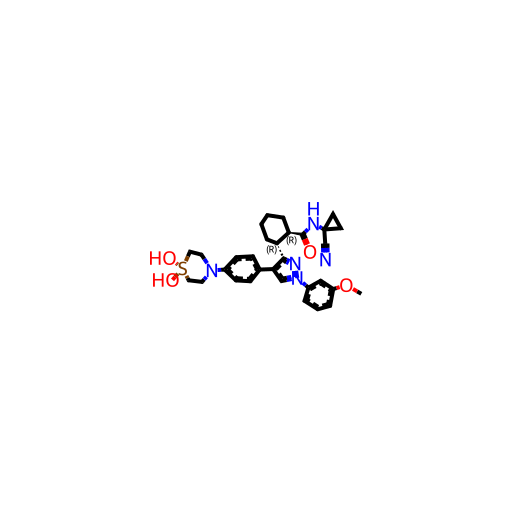 COc1cccc(-n2cc(-c3ccc(N4CCS(O)(O)CC4)cc3)c([C@@H]3CCCC[C@H]3C(=O)NC3(C#N)CC3)n2)c1